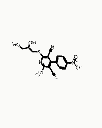 N#Cc1c(N)nc(SCC(O)CO)c(C#N)c1-c1ccc([N+](=O)[O-])cc1